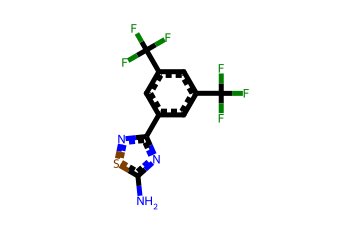 Nc1nc(-c2cc(C(F)(F)F)cc(C(F)(F)F)c2)ns1